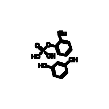 CC(C)(C)c1ccccc1OP(=O)(O)O.Oc1cccc(O)c1